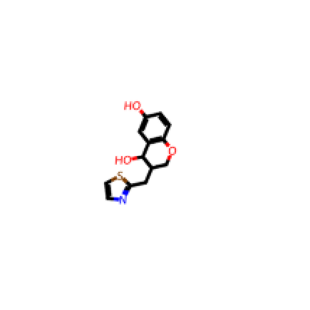 Oc1ccc2c(c1)C(O)C(Cc1nccs1)CO2